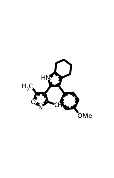 COc1ccc(-c2c(-c3c(C)noc3C)[nH]c3c2CCCC3)cc1